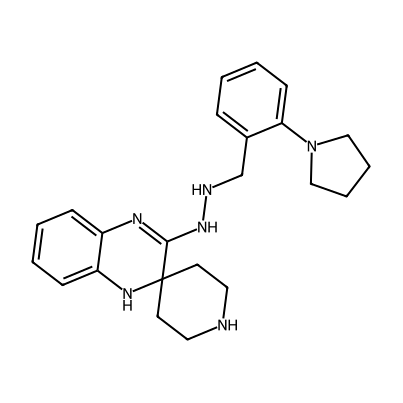 c1ccc(N2CCCC2)c(CNNC2=Nc3ccccc3NC23CCNCC3)c1